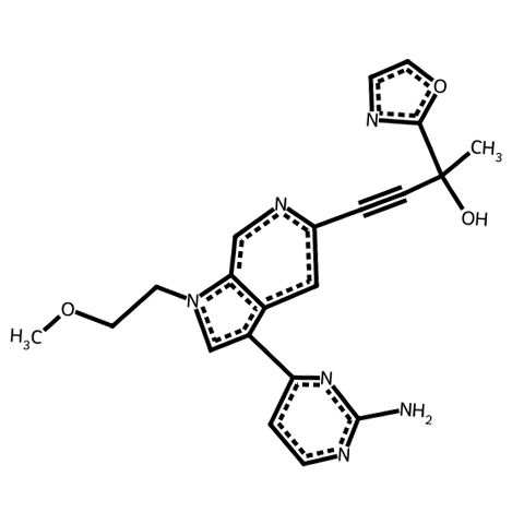 COCCn1cc(-c2ccnc(N)n2)c2cc(C#CC(C)(O)c3ncco3)ncc21